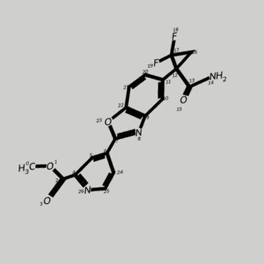 COC(=O)c1cc(-c2nc3cc(C4(C(N)=O)CC4(F)F)ccc3o2)ccn1